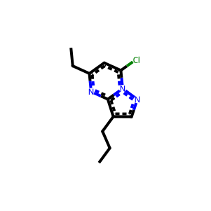 CCCc1cnn2c(Cl)cc(CC)nc12